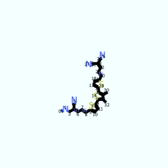 C=NC/C(C#N)=C/C=C/c1ccc(-c2sc(-c3ccc(/C=C/C=C(C#N)C#N)s3)c(C)c2C)s1